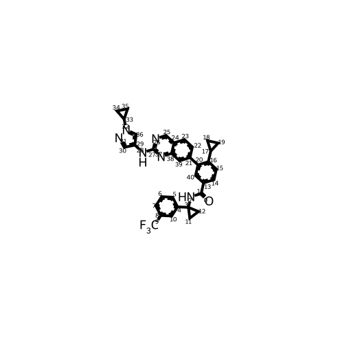 O=C(NC1(c2cccc(C(F)(F)F)c2)CC1)c1ccc(C2CC2)c(-c2ccc3cnc(Nc4cnn(C5CC5)c4)nc3c2)c1